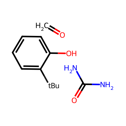 C=O.CC(C)(C)c1ccccc1O.NC(N)=O